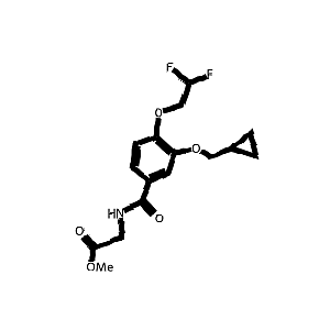 COC(=O)CNC(=O)c1ccc(OCC(F)F)c(OCC2CC2)c1